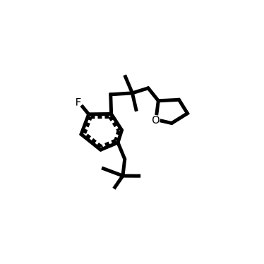 CC(C)(C)Cc1ccc(F)c(CC(C)(C)CC2CCCO2)c1